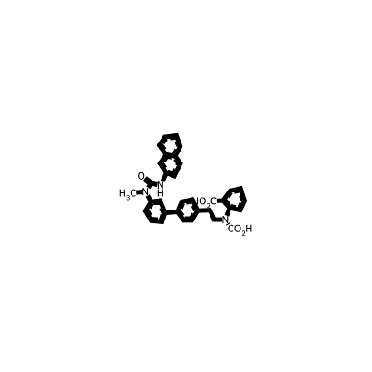 CN(C(=O)Nc1ccc2ccccc2c1)c1cccc(-c2ccc(CCN(C(=O)O)c3ccccc3C(=O)O)cc2)c1